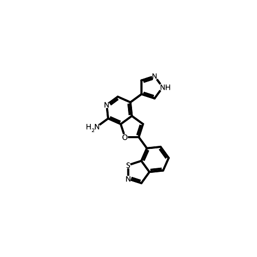 Nc1ncc(-c2cn[nH]c2)c2cc(-c3cccc4cnsc34)oc12